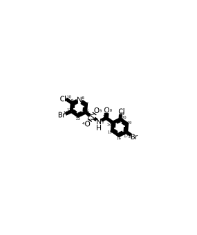 O=C(NS(=O)(=O)c1cnc(Cl)c(Br)c1)c1ccc(Br)cc1Cl